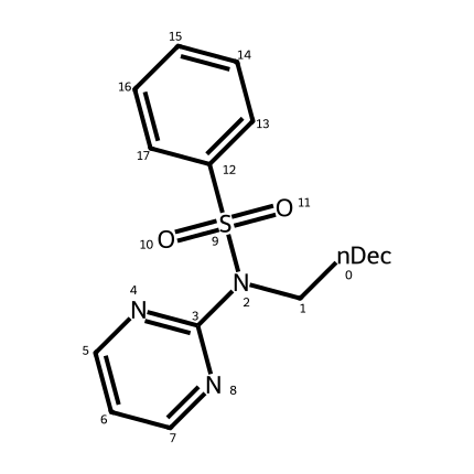 CCCCCCCCCCCN(c1ncccn1)S(=O)(=O)c1ccccc1